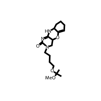 COC(C)(C)OCCCCN1CC2OC3=CCCCC3NC2=NC1=O